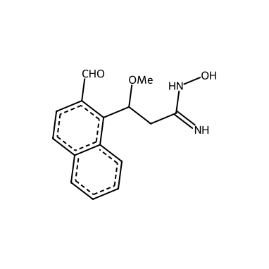 COC(CC(=N)NO)c1c(C=O)ccc2ccccc12